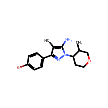 CC1COCCC1n1nc(-c2ccc(Br)cc2)c(C#N)c1N